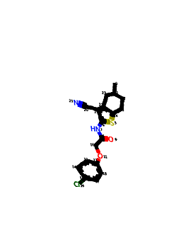 CC1CCc2sc(NC(=O)COc3ccc(Cl)cc3)c(C#N)c2C1